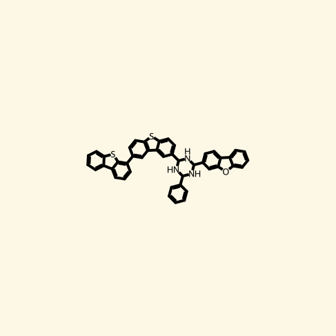 c1ccc(C2NC(c3ccc4c(c3)oc3ccccc34)NC(c3ccc4sc5ccc(-c6cccc7c6sc6ccccc67)cc5c4c3)N2)cc1